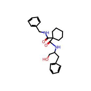 O=C(NCc1ccccc1)C1(C(=O)NC(CO)Cc2ccccc2)CCCCC1